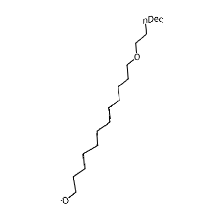 CCCCCCCCCCCCOCCCCCCCCCCCC[O]